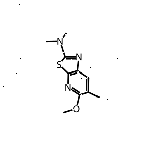 COc1nc2sc(N(C)C)nc2cc1C